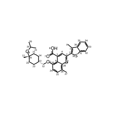 Cc1c(-c2cc(C(=O)O)c3c(OC[C@H]4CC[C@@](C)(OC(C)C)CC4)ccc(C)c3n2)sc2ccccc12